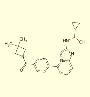 CC1(C)CN(C(=O)c2ccc(-c3cccc4nc(NC(O)C5CC5)cn34)cc2)C1